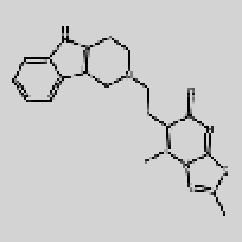 Cc1nn2c(C)c(CCN3CCc4[nH]c5ccccc5c4C3)c(=O)nc2s1